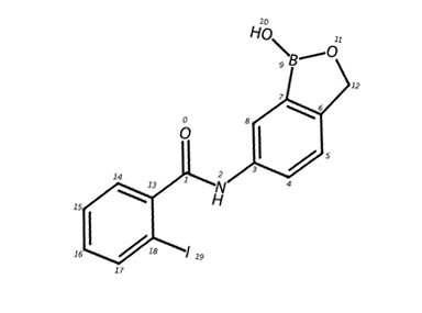 O=C(Nc1ccc2c(c1)B(O)OC2)c1ccccc1I